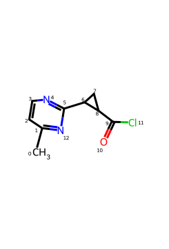 Cc1ccnc(C2CC2C(=O)Cl)n1